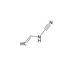 [CH]=CNC#N